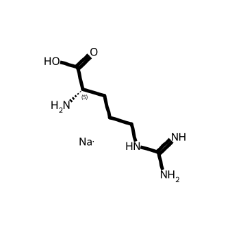 N=C(N)NCCC[C@H](N)C(=O)O.[Na]